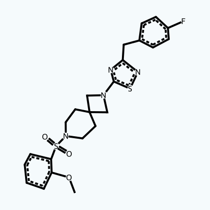 COc1ccccc1S(=O)(=O)N1CCC2(CC1)CN(c1nc(Cc3ccc(F)cc3)ns1)C2